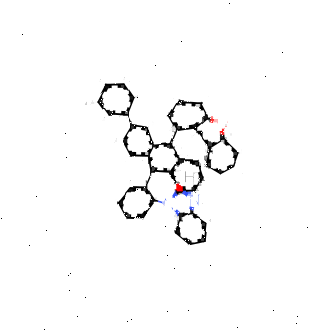 Cc1nc2ccccc2n1-c1ccccc1-c1c2ccccc2c(-c2cccc3oc4ccccc4c23)c2cc(-c3ccccc3)ccc12